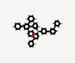 c1ccc(-c2ccc(N(c3ccc(-c4cccc(-c5ccccc5)c4)cc3)c3cccc(-c4c(-c5ccccc5)cc(-c5ccccc5)cc4-c4ccccc4)c3)cc2)cc1